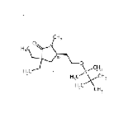 CCC1(CC)C[C@H](CCO[Si](C)(C)C(C)(C)C)N(C)C1=O